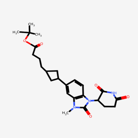 Cn1c(=O)n(C2CCC(=O)NC2=O)c2ccc(C3CC(CCCC(=O)OC(C)(C)C)C3)cc21